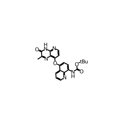 Cc1nc2c(Oc3ccc(NC(=O)OC(C)(C)C)c4ncccc34)ccnc2[nH]c1=O